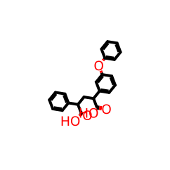 O=C(O)C(CC(C(=O)O)c1cccc(Oc2ccccc2)c1)c1ccccc1